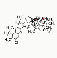 [2H]C([2H])([2H])C(O)(c1ccccc1C(C)C[C@@](C)(SCC1(CC(=O)O)C(C)(C)C1(C)C)c1ccc(C)c(/C(C)=C/c2cc(C)c3c(C)c(C)c(Cl)cc3n2)c1C)C([2H])([2H])C